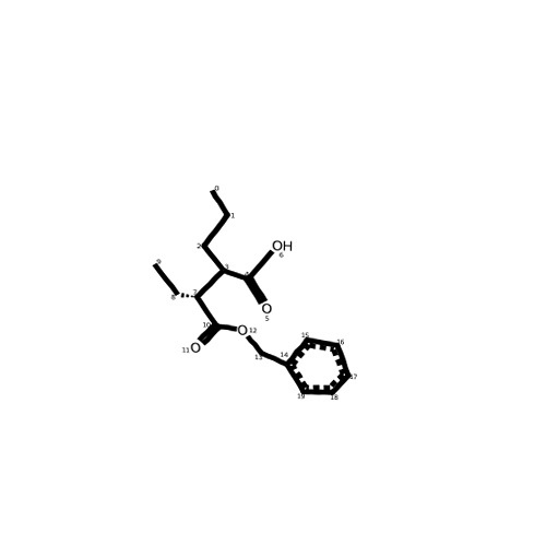 CCCC(C(=O)O)[C@@H](CC)C(=O)OCc1ccccc1